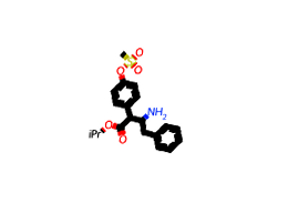 CC(C)OC(=O)C(c1ccc(OS(C)(=O)=O)cc1)C(N)Cc1ccccc1